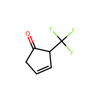 O=C1CC=CC1C(F)(F)F